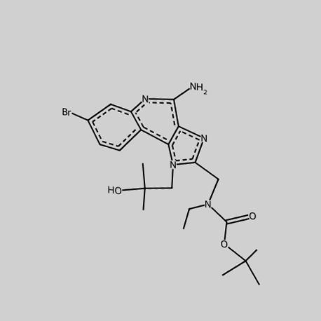 CCN(Cc1nc2c(N)nc3cc(Br)ccc3c2n1CC(C)(C)O)C(=O)OC(C)(C)C